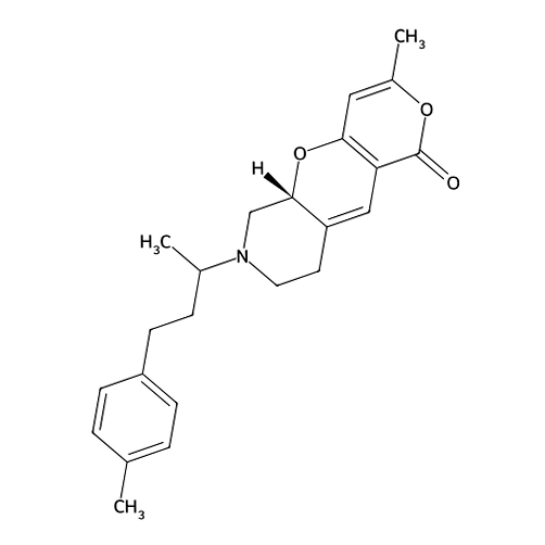 Cc1ccc(CCC(C)N2CCC3=Cc4c(cc(C)oc4=O)O[C@H]3C2)cc1